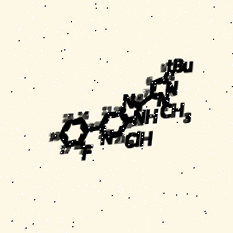 Cl.Cn1nc(C(C)(C)C)cc1-c1nc2cc(-c3ccccc3F)ncc2[nH]1